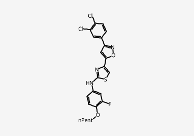 CCCCCOc1ccc(Nc2nc(-c3cc(-c4ccc(Cl)c(Cl)c4)no3)cs2)cc1F